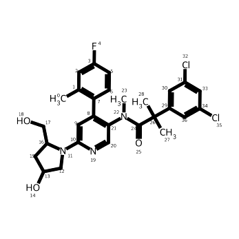 Cc1cc(F)ccc1-c1cc(N2CC(O)CC2CO)ncc1N(C)C(=O)C(C)(C)c1cc(Cl)cc(Cl)c1